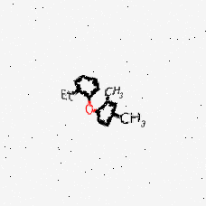 [CH2]Cc1ccccc1Oc1ccc(C)cc1C